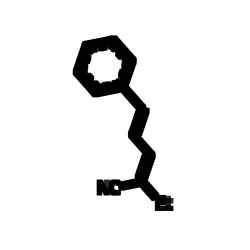 CCC(C#N)=CC=Cc1ccccc1